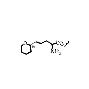 NC(CCC[C@@H]1CCCCO1)C(=O)O